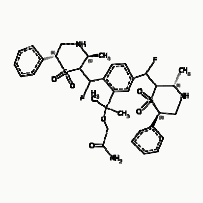 C[C@@H]1NC[C@@H](c2ccccc2)S(=O)(=O)C1C(F)c1ccc(C(F)C2[C@H](C)NC[C@@H](c3ccccc3)S2(=O)=O)c(C(C)(C)OCC(N)=O)c1